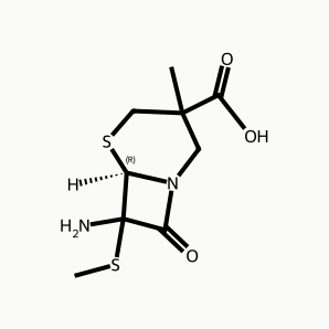 CSC1(N)C(=O)N2CC(C)(C(=O)O)CS[C@@H]21